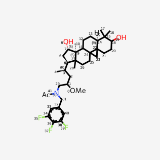 COC(C[C@@H](C)[C@H]1C[C@H](O)[C@@]2(C)C3CC[C@H]4C(C)(C)C(O)CCC45CC35CCC12C)CN(Cc1cc(F)c(F)c(F)c1)C(C)=O